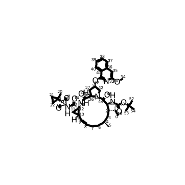 CC[C@@H]1C[C@@H](C)CC/C=C\[C@@H]2C[C@@]2(C(=O)NS(=O)(=O)C2(C)CC2)NC(=O)[C@@H]2C[C@@H](Oc3nc(OC)cc4ccccc34)CN2C(=O)[C@H]1NC(=O)OC(C)(C)C